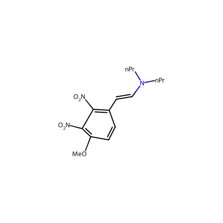 CCCN(C=Cc1ccc(OC)c([N+](=O)[O-])c1[N+](=O)[O-])CCC